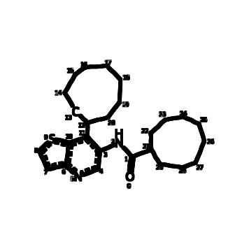 O=C(Nc1cnc2ccsc2c1C1CCCCCCCC1)C1CCCCCCCC1